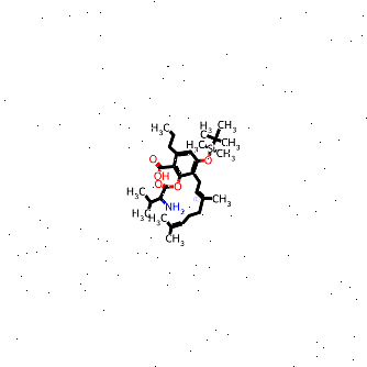 CCCc1cc(O[Si](C)(C)C(C)(C)C)c(C/C=C(\C)CCC=C(C)C)c(OC(=O)C(N)C(C)C)c1C(=O)O